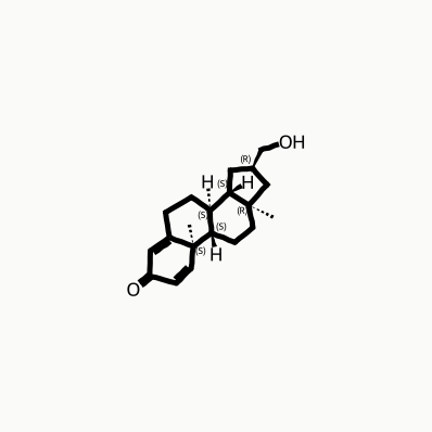 C[C@]12CC[C@H]3[C@@H](CCC4=CC(=O)C=C[C@@]43C)[C@@H]1C[C@@H](CO)C2